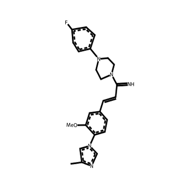 COc1cc(/C=C/C(=N)N2CCN(c3ccc(F)cc3)CC2)ccc1-n1cnc(C)c1